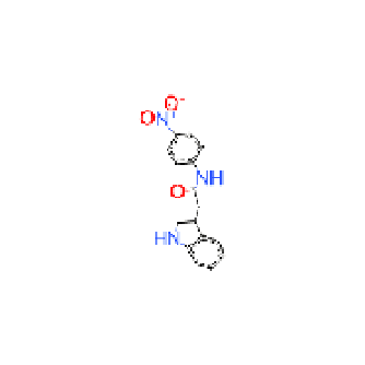 O=C(CC1CNc2ccccc21)Nc1ccc([N+](=O)[O-])cc1